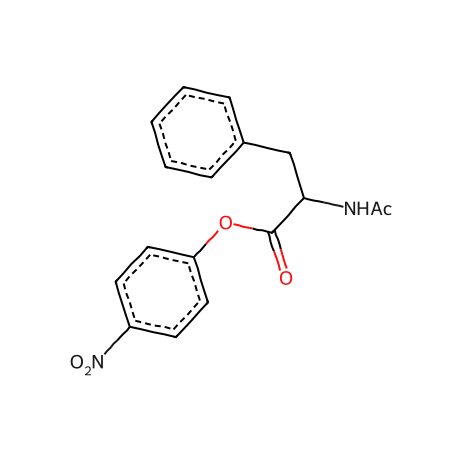 CC(=O)NC(Cc1ccccc1)C(=O)Oc1ccc([N+](=O)[O-])cc1